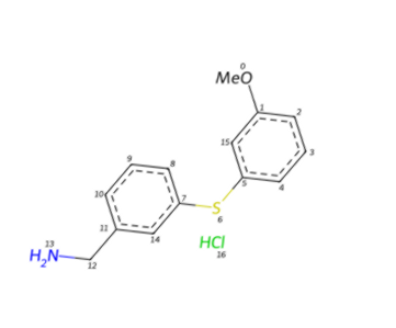 COc1cccc(Sc2cccc(CN)c2)c1.Cl